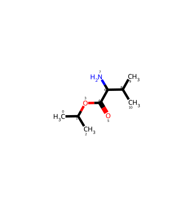 CC(C)OC(=O)C(N)C(C)C